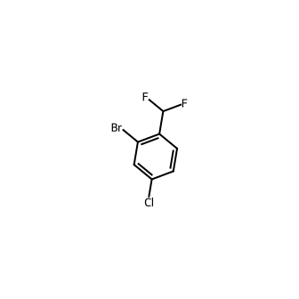 FC(F)c1ccc(Cl)cc1Br